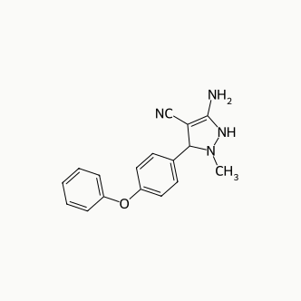 CN1NC(N)=C(C#N)C1c1ccc(Oc2ccccc2)cc1